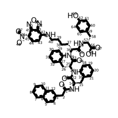 O=C(Cc1ccc2ccccc2c1)N[C@H](Cc1ccccc1)C(=O)N[C@H](Cc1ccccc1)C(=O)N[C@H](CCCCNc1ccc([N+](=O)[O-])c2nonc12)C(=O)N[C@H](Cc1ccc(O)cc1)C(=O)O